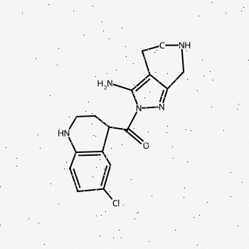 Nc1c2c(nn1C(=O)C1CCNc3ccc(Cl)cc31)CNCC2